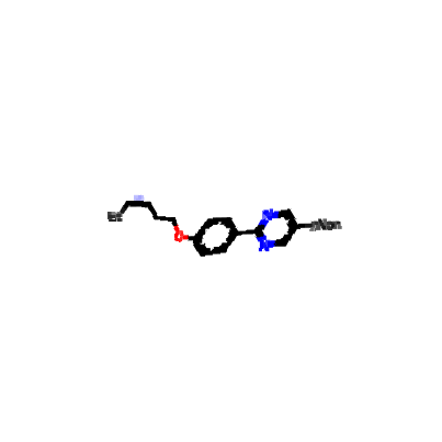 CC/C=C\CCOc1ccc(-c2ncc(CCCCCCCCC)cn2)cc1